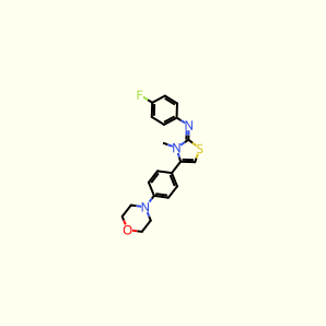 Cn1c(-c2ccc(N3CCOCC3)cc2)cs/c1=N/c1ccc(F)cc1